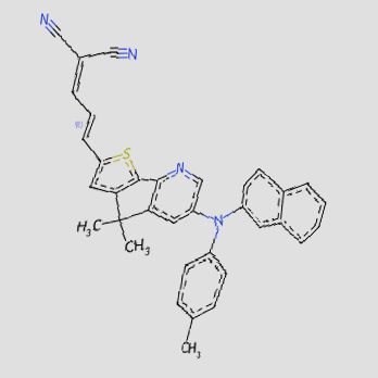 Cc1ccc(N(c2cnc3c(c2)C(C)(C)c2cc(/C=C/C=C(C#N)C#N)sc2-3)c2ccc3ccccc3c2)cc1